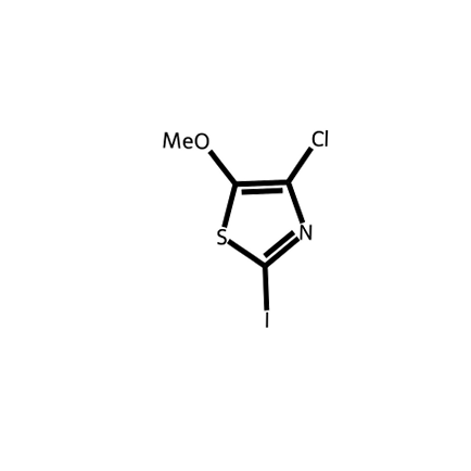 COc1sc(I)nc1Cl